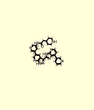 O=C(CC1CCNCC1)Nc1cncc(-c2cnc3[nH]nc(-c4nc5c(-c6cccnc6)ccnc5[nH]4)c3c2)c1